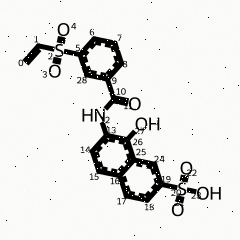 C=CS(=O)(=O)c1cccc(C(=O)Nc2ccc3ccc(S(=O)(=O)O)cc3c2O)c1